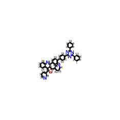 c1ccc(-c2nc(-c3ccccc3)nc(-c3ccc(-c4ccc(-c5nc6ccccc6c6c(-c7cccnc7)oc(-c7cccnc7)c56)cc4)cc3)n2)cc1